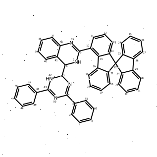 c1ccc(C2=NC(C3NC(c4cccc5c4-c4ccccc4C54c5ccccc5-c5ccccc54)=Nc4ccccc43)NC(c3ccccc3)=N2)cc1